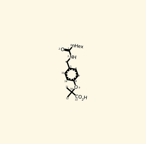 CCCCCCC(=O)NCc1ccc(OC(C)(C)C(=O)O)cc1